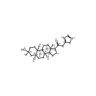 C[C@@]1(O)CC[C@H]2[C@H](CC[C@@H]3[C@@H]2CC[C@]2(C)[C@@H](C(=O)CC4=NC=NC4)CC[C@@H]32)C1